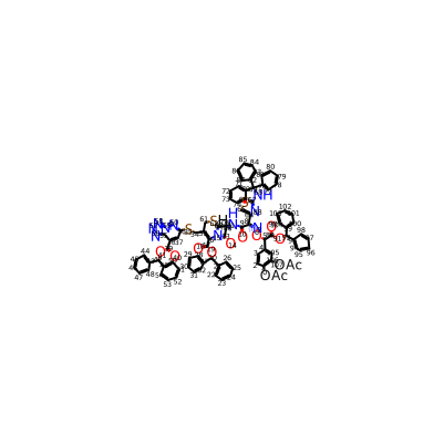 CC(=O)Oc1ccc(C(O/N=C(\C(=O)N[C@@H]2C(=O)N3C(C(=O)OC(c4ccccc4)c4ccccc4)=C(CSc4cc(C(=O)OC(c5ccccc5)c5ccccc5)c5nnnn5n4)CS[C@H]23)c2csc(NC(c3ccccc3)(c3ccccc3)c3ccccc3)n2)C(=O)OC(c2ccccc2)c2ccccc2)cc1OC(C)=O